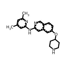 Cc1cc(C)nc(Nc2cc3cc(OC4CCNCC4)ccc3cn2)c1